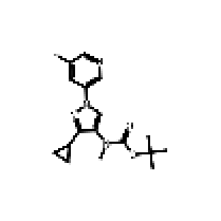 CN(C(=O)OC(C)(C)C)c1cn(-c2cncc(F)c2)nc1C1CC1